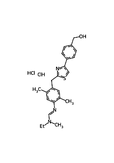 CCN(C)C=Nc1cc(C)c(Cc2nc(-c3ccc(CO)cc3)cs2)cc1C.Cl.Cl